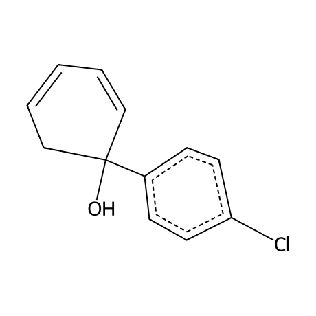 OC1(c2ccc(Cl)cc2)C=CC=CC1